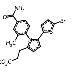 CCOC(=O)CCc1ccc(-c2ccc(Br)s2)n1-c1ccc(C(N)=O)cc1C